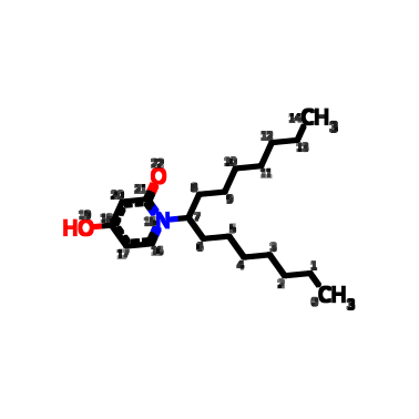 CCCCCCCC(CCCCCCC)n1ccc(O)cc1=O